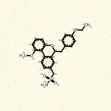 CCOc1ccc(CC2Oc3cccc(OC)c3-c3ccc(CS(N)(=O)=O)cc32)cc1